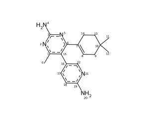 Cc1nc(N)nc(C2=CCC(C)(C)CC2)c1-c1ccc(N)nc1